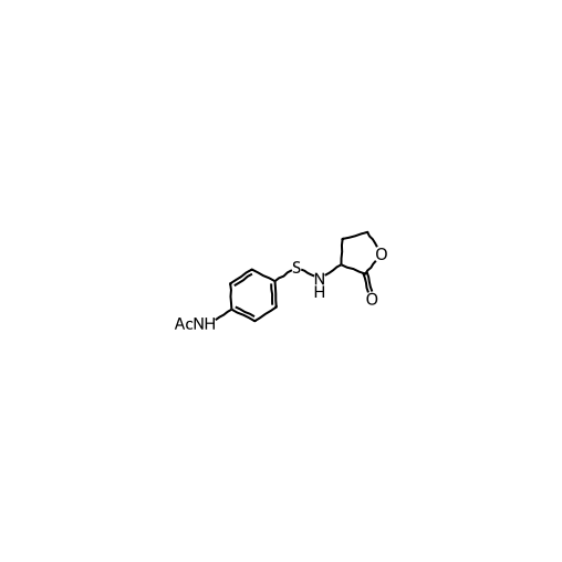 CC(=O)Nc1ccc(SNC2CCOC2=O)cc1